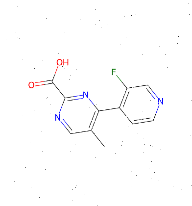 Cc1cnc(C(=O)O)nc1-c1ccncc1F